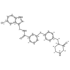 O=C(NCc1n[nH]c2ccc(Cl)cc12)c1cccc(Cc2ccc(CN3CCNCC3=O)cc2)c1